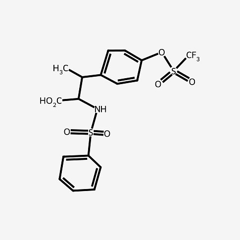 CC(c1ccc(OS(=O)(=O)C(F)(F)F)cc1)C(NS(=O)(=O)c1ccccc1)C(=O)O